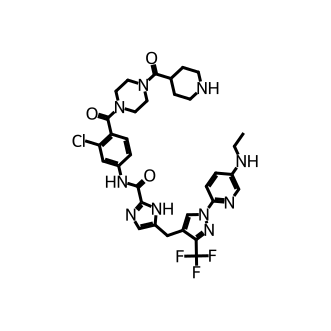 CCNc1ccc(-n2cc(Cc3cnc(C(=O)Nc4ccc(C(=O)N5CCN(C(=O)C6CCNCC6)CC5)c(Cl)c4)[nH]3)c(C(F)(F)F)n2)nc1